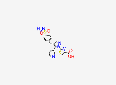 NS(=O)(=O)c1ccc(Cc2cnn(-c3nc(C(=O)O)cs3)c2-c2cccnc2)cc1